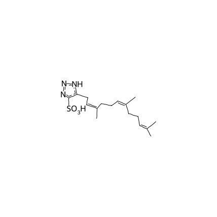 CC(C)=CCCC(C)=CCCC(C)=CCc1[nH]nnc1S(=O)(=O)O